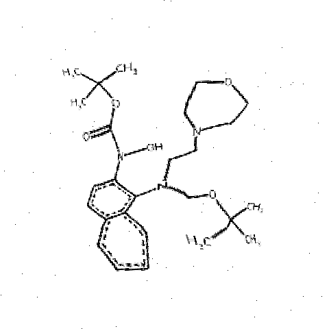 CC(C)(C)OCN(CCN1CCOCC1)c1c(N(O)C(=O)OC(C)(C)C)ccc2ccccc12